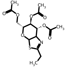 CCC1=NC2C(O[C@H](COC(C)=O)[C@@H](OC(C)=O)[C@@H]2OC(C)=O)S1